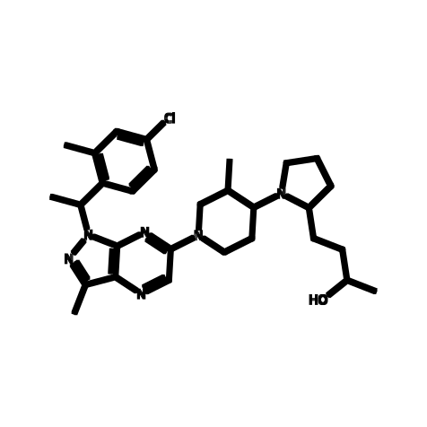 Cc1cc(Cl)ccc1C(C)n1nc(C)c2ncc(N3CCC(N4CCCC4CCC(C)O)C(C)C3)nc21